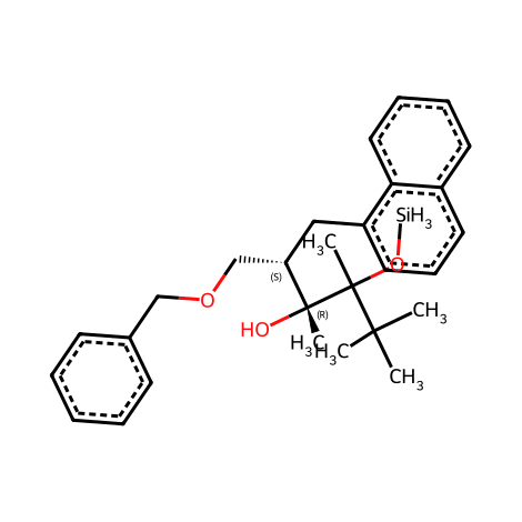 CC(C)(C)C(C)(O[SiH3])[C@](C)(O)[C@H](COCc1ccccc1)Cc1cccc2ccccc12